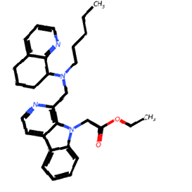 CCCCCN(Cc1nccc2c3ccccc3n(CC(=O)OCC)c12)C1CCCc2cccnc21